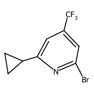 FC(F)(F)c1cc(Br)nc(C2CC2)c1